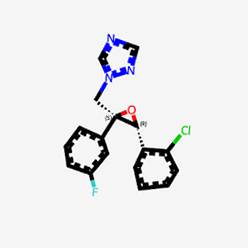 Fc1cccc([C@@]2(Cn3cncn3)O[C@@H]2c2ccccc2Cl)c1